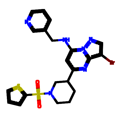 O=S(=O)(c1cccs1)N1CCCC(c2cc(NCc3cccnc3)n3ncc(Br)c3n2)C1